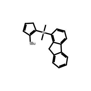 CC(C)(C)C1=C([Si](C)(C)c2cccc3c2Cc2ccccc2-3)CC=C1